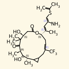 C=C(C)S/C=C(N)/C=C(\C)[C@@H]1C/C=C(/C(F)(F)F)CC2CC2[C@H](C)[C@H](O)[C@@H](C)C(=O)C(C)(C)[C@@H](O)CC(=O)O1